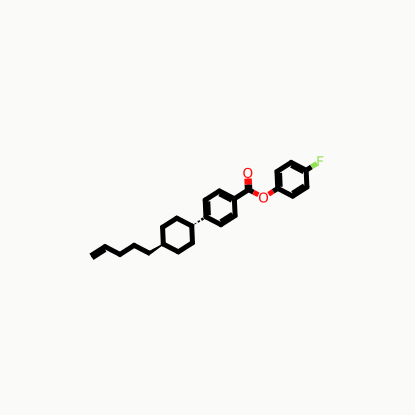 C=CCCC[C@H]1CC[C@H](c2ccc(C(=O)Oc3ccc(F)cc3)cc2)CC1